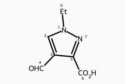 CCn1cc(C=O)c(C(=O)O)n1